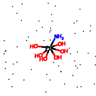 [NH2][Pt]([OH])([OH])([OH])([OH])([OH])[OH]